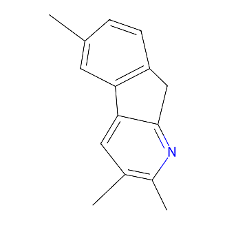 Cc1ccc2c(c1)-c1cc(C)c(C)nc1C2